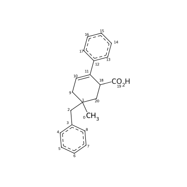 CC1(Cc2ccccc2)CC=C(c2ccccc2)C(C(=O)O)C1